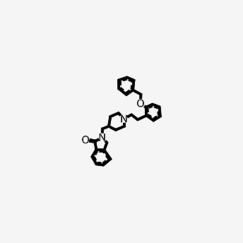 O=C1c2ccccc2CN1CC1CCN(CCc2ccccc2OCc2ccccc2)CC1